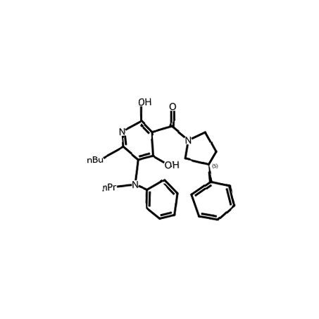 CCCCc1nc(O)c(C(=O)N2CC[C@@H](c3ccccc3)C2)c(O)c1N(CCC)c1ccccc1